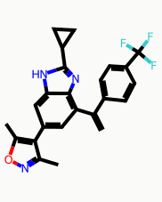 C=C(c1ccc(C(F)(F)F)cc1)c1cc(-c2c(C)noc2C)cc2[nH]c(C3CC3)nc12